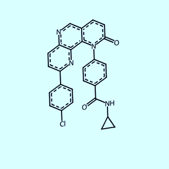 O=C(NC1CC1)c1ccc(-n2c(=O)ccc3cnc4ccc(-c5ccc(Cl)cc5)nc4c32)cc1